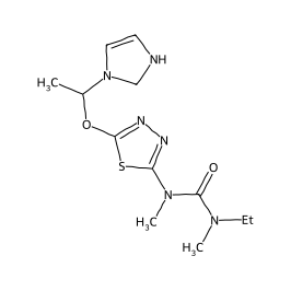 CCN(C)C(=O)N(C)c1nnc(OC(C)N2C=CNC2)s1